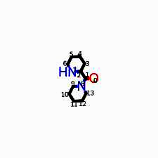 O=C(C1CCCCN1)N1CCCCC1